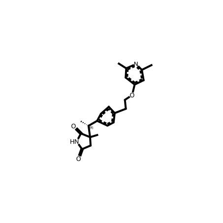 Cc1cc(OCCc2ccc([C@@H](C)C3(C)CC(=O)NC3=O)cc2)cc(C)n1